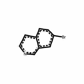 Brc1ccc2c[c]ncc2c1